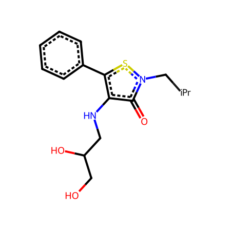 CC(C)Cn1sc(-c2ccccc2)c(NCC(O)CO)c1=O